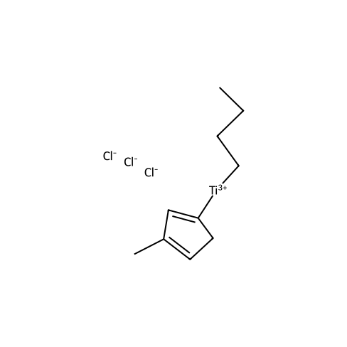 CCC[CH2][Ti+3][C]1=CC(C)=CC1.[Cl-].[Cl-].[Cl-]